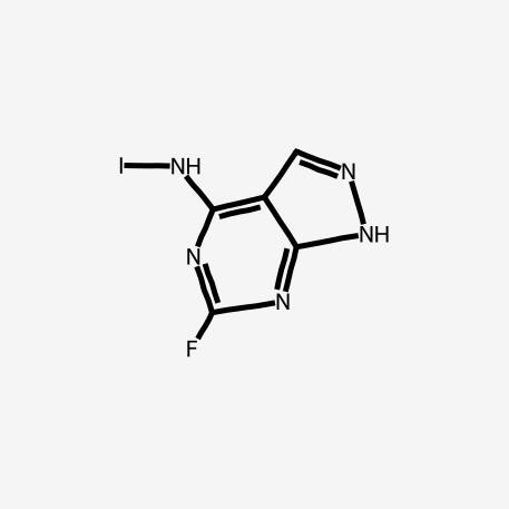 Fc1nc(NI)c2cn[nH]c2n1